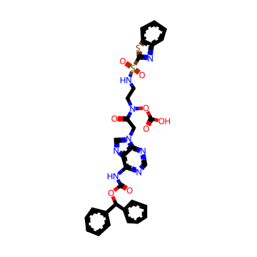 O=C(O)ON(CCNS(=O)(=O)c1nc2ccccc2s1)C(=O)Cn1cnc2c(NC(=O)OC(c3ccccc3)c3ccccc3)ncnc21